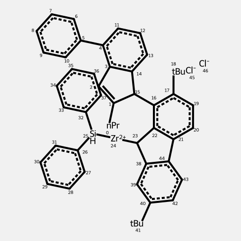 CCCC1=Cc2c(-c3ccccc3)cccc2C1c1c(C(C)(C)C)ccc2c1[CH]([Zr+2][SiH](c1ccccc1)c1ccccc1)c1cc(C(C)(C)C)ccc1-2.[Cl-].[Cl-]